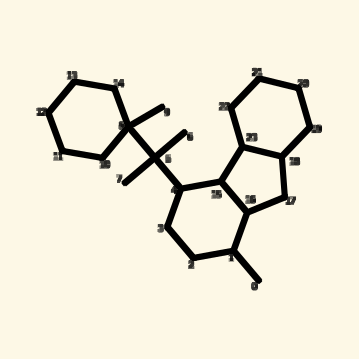 CC1CCC(C(C)(C)C2(C)CCCCC2)C2C1CC1CCCCC12